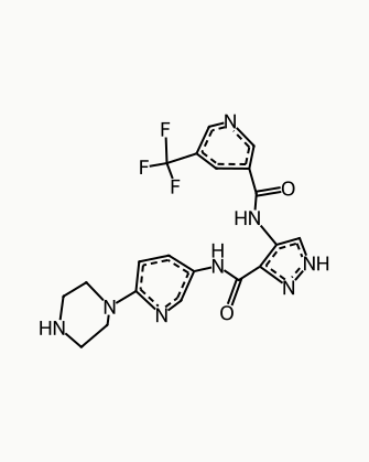 O=C(Nc1c[nH]nc1C(=O)Nc1ccc(N2CCNCC2)nc1)c1cncc(C(F)(F)F)c1